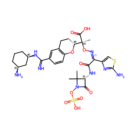 CC1(C)[C@H](NC(=O)/C(=N\O[C@](C)(C(=O)O)[C@H]2CCc3cc(C(=N)N[C@@H]4CCC[C@H](N)C4)ccc3O2)c2csc(N)n2)C(=O)N1OS(=O)(=O)O